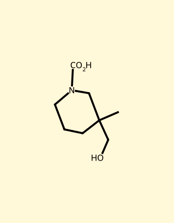 CC1(CO)CCCN(C(=O)O)C1